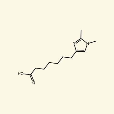 Cc1nc(CCCCCCC(=O)O)cn1C